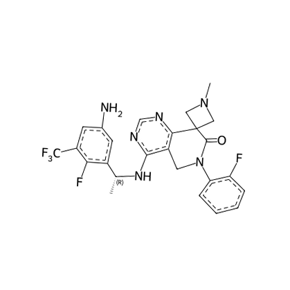 C[C@@H](Nc1ncnc2c1CN(c1ccccc1F)C(=O)C21CN(C)C1)c1cc(N)cc(C(F)(F)F)c1F